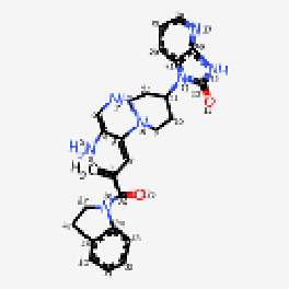 C=C(/C=C(\C(N)=C/N)N1CCC(n2c(=O)[nH]c3ncccc32)CC1)C(=O)N1CCc2ccccc21